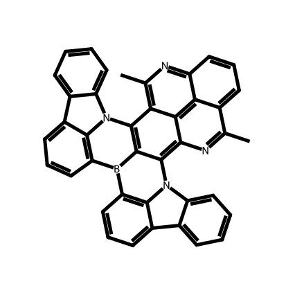 Cc1nc2c3c4c(c5c(C)nc6cccc1c6c25)-n1c2ccccc2c2cccc(c21)B4c1cccc2c4ccccc4n-3c12